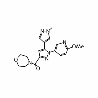 COc1ccc(-n2nc(C(=O)N3CCOCC3)cc2-c2cnn(C)c2)cn1